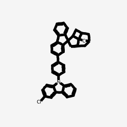 Clc1ccc2c(c1)c1ccccc1n2-c1ccc(-c2ccc3c(c2)C2(c4ccccc4-3)C3CC4CC5CC2C5(C4)C3)cc1